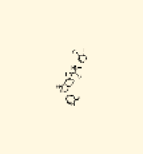 O=C(NCc1ccc(F)c(Cl)c1)Nc1cc2[nH]nc(-c3ccnc(F)c3)c2cn1